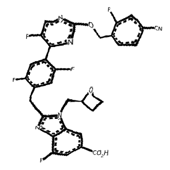 N#Cc1ccc(COc2ncc(F)c(-c3cc(F)c(Cc4nc5c(F)cc(C(=O)O)cc5n4C[C@@H]4CCO4)cc3F)n2)c(F)c1